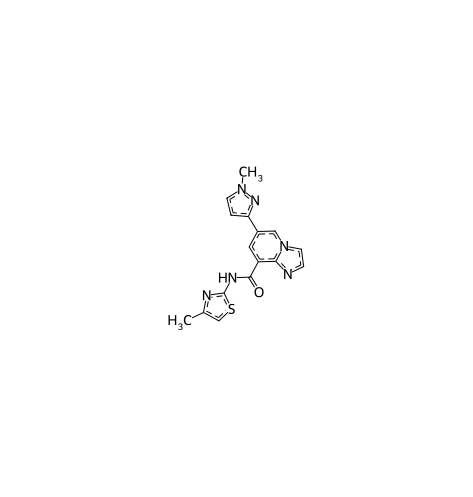 Cc1csc(NC(=O)c2cc(-c3ccn(C)n3)cn3ccnc23)n1